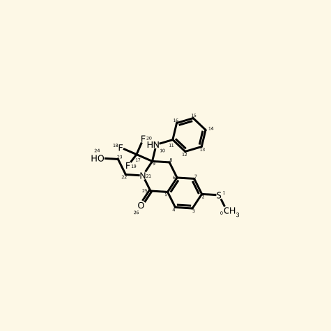 CSc1ccc2c(c1)CC(Nc1ccccc1)(C(F)(F)F)N(CCO)C2=O